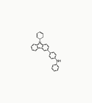 C1=CCC(n2c3ccccc3c3cc(-c4ccc(Nc5ccccc5)cc4)ccc32)C=C1